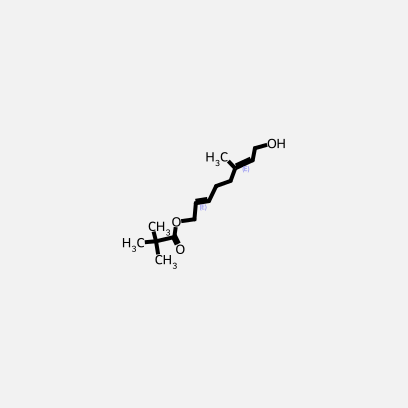 C/C(=C\CO)CC/C=C/COC(=O)C(C)(C)C